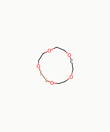 C1COCCOSSOCCOCCO1